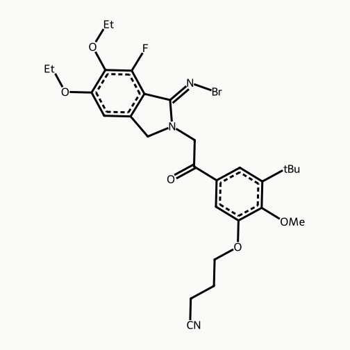 CCOc1cc2c(c(F)c1OCC)/C(=N/Br)N(CC(=O)c1cc(OCCCC#N)c(OC)c(C(C)(C)C)c1)C2